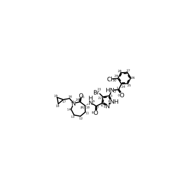 O=C(Nc1[nH]nc(C(=O)N[C@@H]2CCCCN(CC3CC3)C2=O)c1Br)c1ccccc1Cl